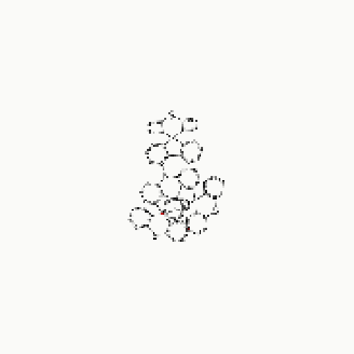 c1ccc2c(c1)Sc1ccccc1C21c2ccccc2-c2c(N(c3cccc4c3-c3ccccc3C43c4ccccc4Sc4ccccc43)c3cccc4c3-c3ccccc3C43c4ccccc4Sc4ccccc43)cccc21